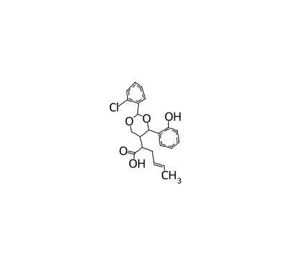 CC=CCC(C(=O)O)C1COC(c2ccccc2Cl)OC1c1ccccc1O